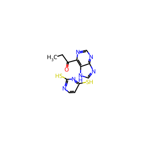 CCC(=O)c1ncnc2nc[nH]c12.Sc1ccnc(S)n1